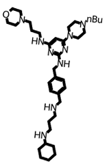 CCCCN1CCN(c2cc(NCCCN3CCOCC3)nc(NCc3ccc(CNCCCNC4CCCCC4)cc3)n2)CC1